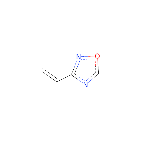 C=Cc1ncon1